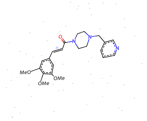 COc1cc(/C=C/C(=O)N2CCN(Cc3cccnc3)CC2)cc(OC)c1OC